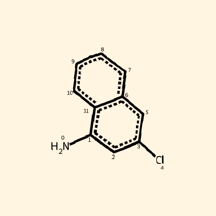 Nc1cc(Cl)cc2ccccc12